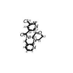 O=C(NCc1cccnc1N1CCOCC1)c1cnnc(Cl)c1